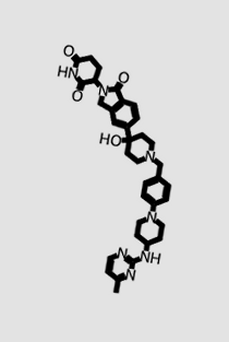 Cc1ccnc(NC2CCN(c3ccc(CN4CCC(O)(c5ccc6c(c5)CN(C5CCC(=O)NC5=O)C6=O)CC4)cc3)CC2)n1